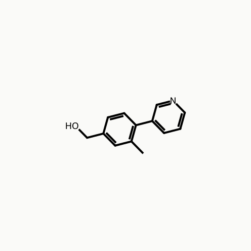 Cc1cc(CO)ccc1-c1cccnc1